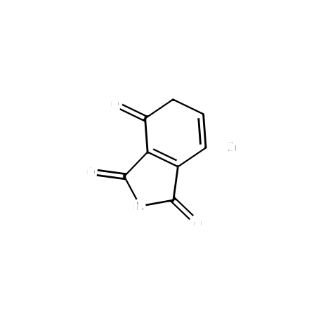 O=C1CC=CC2=C1C(=O)NC2=O.[Zn]